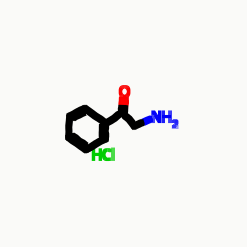 Cl.NCC(=O)c1ccccc1